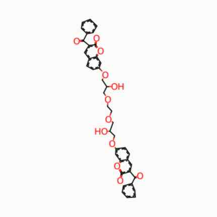 O=C(c1ccccc1)c1cc2ccc(OCC(O)COCCOCC(O)COc3ccc4cc(C(=O)c5ccccc5)c(=O)oc4c3)cc2oc1=O